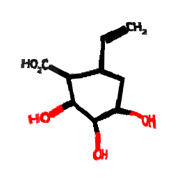 C=CC1CC(O)C(O)C(O)C1C(=O)O